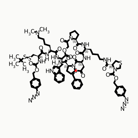 CN(C)CCCC[C@H](NC(=O)[C@H](CSSC(C)(C)C)NC(=O)OCc1ccc(N=[N+]=[N-])cc1)C(=O)N[C@@H](Cc1c[nH]c2ccccc12)C(=O)OCC(=O)N1CCC[C@H]1C(=O)N[C@@H](CCCCNC(=O)[C@@H]1CSCN1C(=O)OCc1ccc(N=[N+]=[N-])cc1)C(=O)N[C@@H](CC(=O)SCc1ccccc1)C(=O)N1CCC[C@H]1C(N)=O